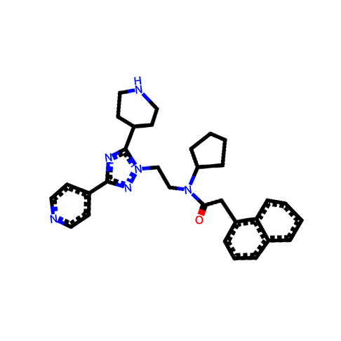 O=C(Cc1cccc2ccccc12)N(CCn1nc(-c2ccncc2)nc1C1CCNCC1)C1CCCC1